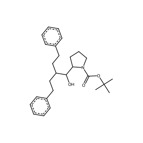 CC(C)(C)OC(=O)N1CCCC1C(O)C(CCc1ccccc1)CCc1ccccc1